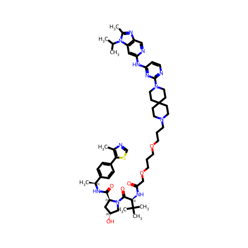 Cc1ncsc1-c1ccc([C@H](C)NC(=O)[C@@H]2C[C@@H](O)CN2C(=O)[C@@H](NC(=O)COCCCOCCCN2CCC3(CC2)CCN(c2nccc(Nc4cc5c(cn4)nc(C)n5C(C)C)n2)CC3)C(C)(C)C)cc1